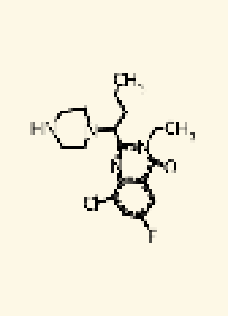 CCCC(c1nc2c(Cl)cc(F)cc2c(=O)n1CC)N1CCNCC1